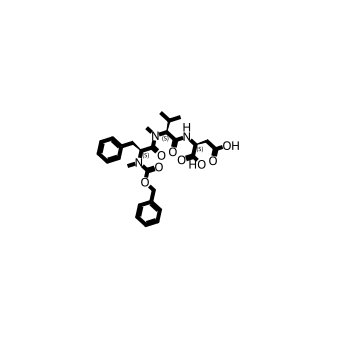 CC(C)[C@@H](C(=O)N[C@@H](CC(=O)O)C(=O)O)N(C)C(=O)[C@H](Cc1ccccc1)N(C)C(=O)OCc1ccccc1